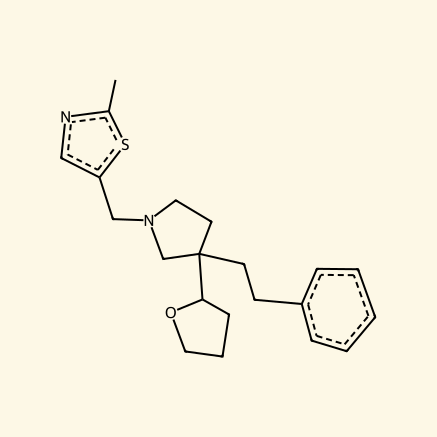 Cc1ncc(CN2CCC(CCc3ccccc3)(C3CCCO3)C2)s1